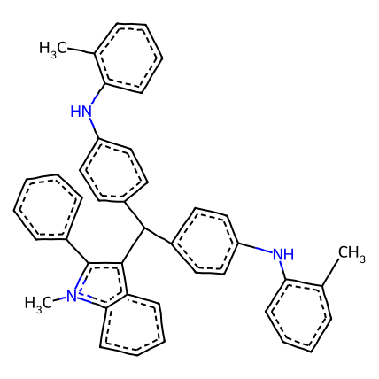 Cc1ccccc1Nc1ccc(C(c2ccc(Nc3ccccc3C)cc2)c2c(-c3ccccc3)n(C)c3ccccc23)cc1